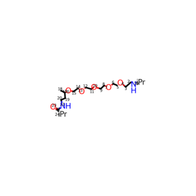 CC(C)NCCOCCOCCOCCOCCOC(C)CCNC(=O)C(C)C